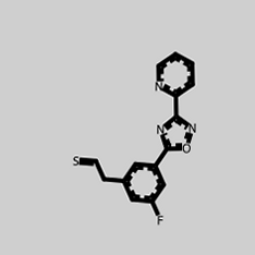 Fc1cc(CC=S)cc(-c2nc(-c3ccccn3)no2)c1